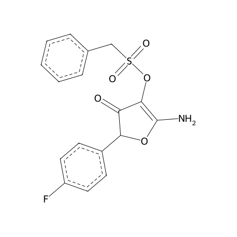 NC1=C(OS(=O)(=O)Cc2ccccc2)C(=O)C(c2ccc(F)cc2)O1